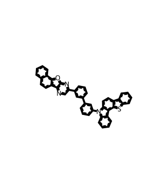 c1cc(-c2cccc(-n3c4ccccc4c4c5sc6ccccc6c5ccc43)c2)cc(-c2cnc3c(n2)oc2c4ccccc4ccc32)c1